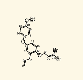 C=CCc1cc(Oc2ccc(OCC)cc2)ccc1OCC=C(Br)Br